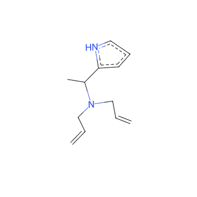 C=CCN(CC=C)C(C)c1ccc[nH]1